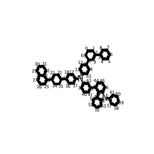 C1=CC(c2ccccc2)=CC(c2ccc(N(c3ccc(C4=CC=C(c5cccc6ccccc56)CC4)cc3)c3cccc(-c4cccc5c4c4ccccc4n5-c4ccccc4)c3)cc2)C1